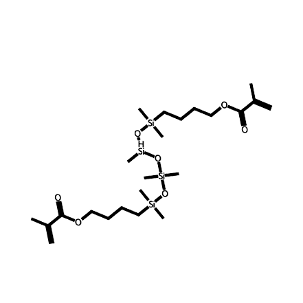 C=C(C)C(=O)OCCCC[Si](C)(C)O[SiH](C)O[Si](C)(C)O[Si](C)(C)CCCCOC(=O)C(=C)C